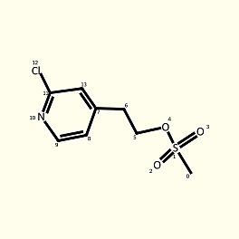 CS(=O)(=O)OCCc1ccnc(Cl)c1